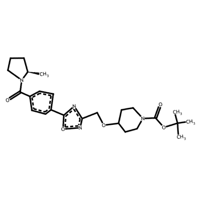 C[C@@H]1CCCN1C(=O)c1ccc(-c2nc(COC3CCN(C(=O)OC(C)(C)C)CC3)no2)cc1